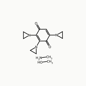 CN.CO.O=C1C=C(N2CC2)C(=O)C(N2CC2)=C1N1CC1